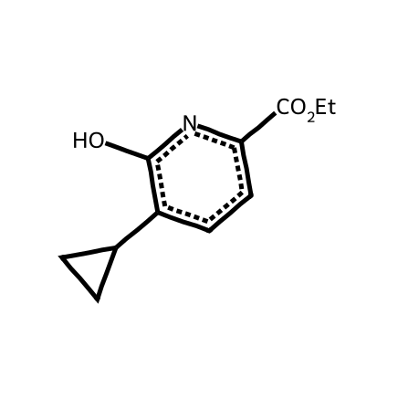 CCOC(=O)c1ccc(C2CC2)c(O)n1